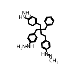 C=NNc1ccc(CCC(CC2=CC=C(NN)CC2)(Cc2ccccc2)Cc2ccc(NN)cc2)cc1